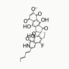 C/C=C/C=C/c1cc2c(F)c3c(c(O)c2c(=O)[nH]1)[C@@]1(CC3)C(=O)c2c(O)c3c(c(O)c2C1=O)C(=O)C(OC)=CC3=O